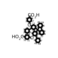 O=C(O)c1ccc(Oc2ccc(C3(c4ccc(Oc5ccc(C(=O)O)cc5)c(-c5ccccc5)c4)c4ccccc4-c4ccccc43)cc2-c2ccccc2)cc1